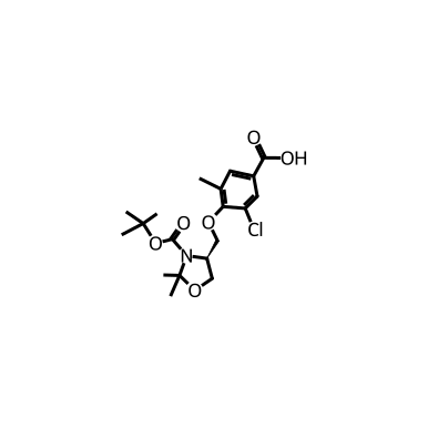 Cc1cc(C(=O)O)cc(Cl)c1OC[C@H]1COC(C)(C)N1C(=O)OC(C)(C)C